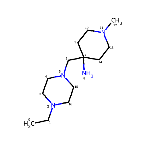 CCN1CCN(CC2(N)CCN(C)CC2)CC1